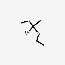 CCOC(C)(N)OC